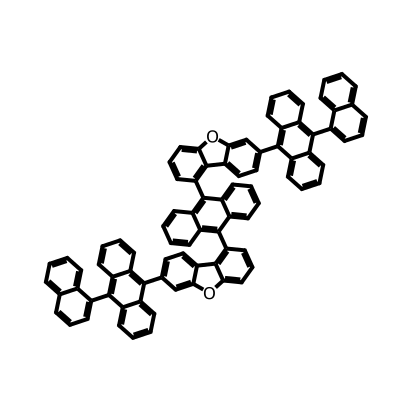 c1ccc2c(-c3c4ccccc4c(-c4ccc5c(c4)oc4cccc(-c6c7ccccc7c(-c7cccc8oc9cc(-c%10c%11ccccc%11c(-c%11cccc%12ccccc%11%12)c%11ccccc%10%11)ccc9c78)c7ccccc67)c45)c4ccccc34)cccc2c1